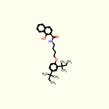 CCC(C)(C)c1ccc(OCCCCNC(=O)c2ccc3ccccc3c2O)c(C(C)(C)CC)c1